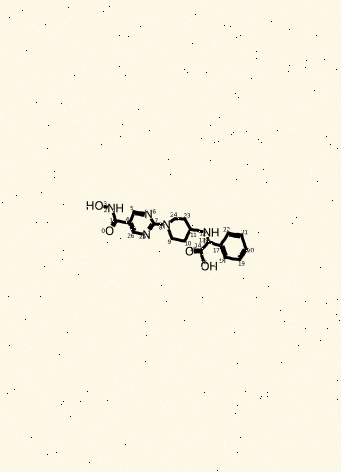 O=C(NO)c1cnc(N2CCC(N[C@H](C(=O)O)c3ccccc3)CC2)nc1